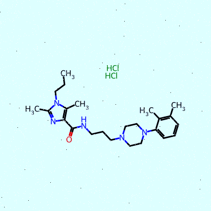 CCCn1c(C)nc(C(=O)NCCCN2CCN(c3cccc(C)c3C)CC2)c1C.Cl.Cl